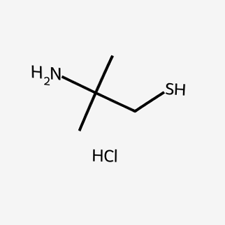 CC(C)(N)CS.Cl